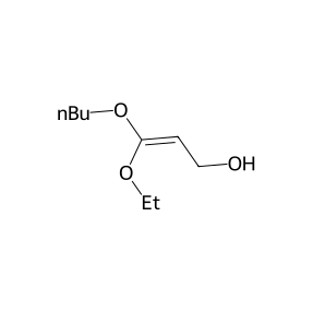 CCCCOC(=CCO)OCC